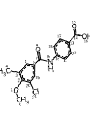 COc1c(C)cc(C(=O)Nc2ccc(C(=O)O)cc2)cc1Cl